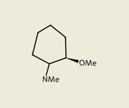 CNC1CCCC[C@H]1OC